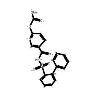 COC(=O)Oc1ccc(C(=O)NS(=O)(=O)c2ccccc2-c2ccccc2)cn1